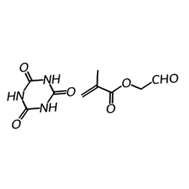 C=C(C)C(=O)OCC=O.O=c1[nH]c(=O)[nH]c(=O)[nH]1